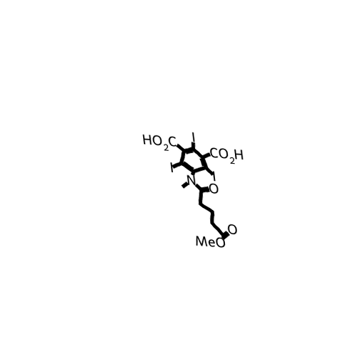 COC(=O)CCCC(=O)N(C)c1c(I)c(C(=O)O)c(I)c(C(=O)O)c1I